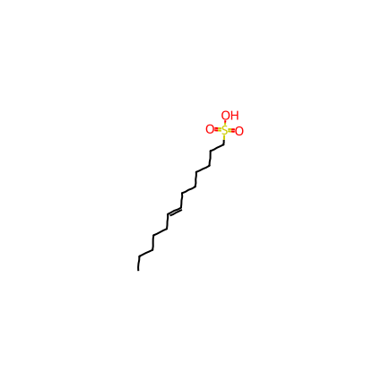 CCCCCC=CCCCCCCS(=O)(=O)O